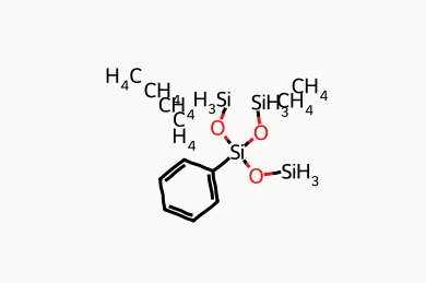 C.C.C.C.C.C.[SiH3]O[Si](O[SiH3])(O[SiH3])c1ccccc1